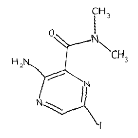 CN(C)C(=O)c1nc(I)cnc1N